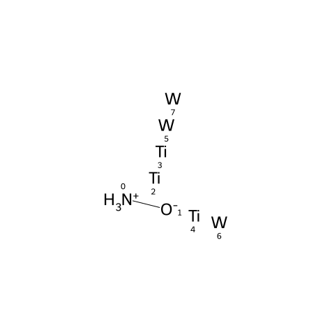 [NH3+][O-].[Ti].[Ti].[Ti].[W].[W].[W]